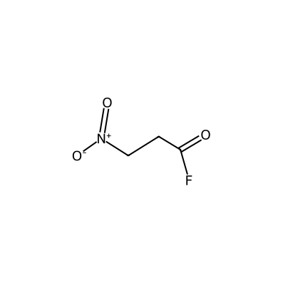 O=C(F)CC[N+](=O)[O-]